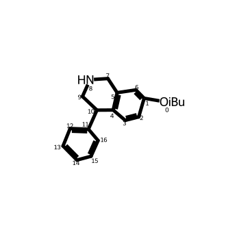 CC(C)COc1ccc2c(c1)CNCC2c1ccccc1